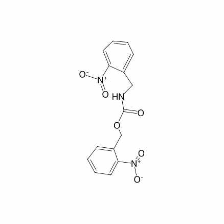 O=C(NCc1ccccc1[N+](=O)[O-])OCc1ccccc1[N+](=O)[O-]